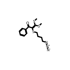 CSC(SC)=C(SCCCCN=[N+]=[N-])C(=O)c1ccccc1